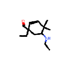 CCNC1CC(C=O)(CC)C=CC1(C)C